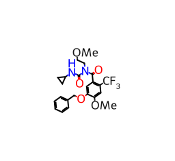 COCCN(C(=O)NC1CC1)C(=O)c1cc(OCc2ccccc2)c(OC)cc1C(F)(F)F